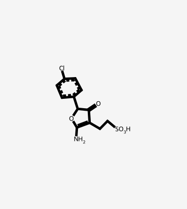 NC1=C(CCS(=O)(=O)O)C(=O)C(c2ccc(Cl)cc2)O1